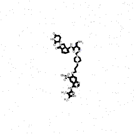 Cc1[nH]nc(Nc2ncnc3cc(OCCCN4CCN(C/N=C\C(=C/N)C(=O)NC5=CC=CC6C(=O)N([C@H]7CCC(=O)NC7=O)CC56)CC4)c(S(=O)(=O)C(C)(C)C)cc23)c1C